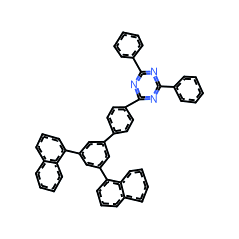 c1ccc(-c2nc(-c3ccccc3)nc(-c3ccc(-c4cc(-c5cccc6ccccc56)cc(-c5cccc6ccccc56)c4)cc3)n2)cc1